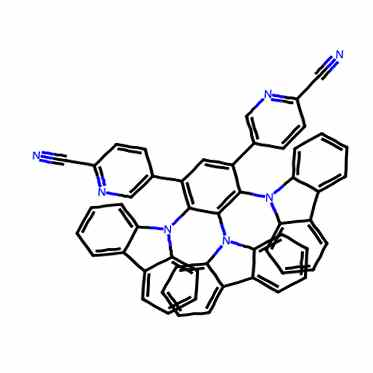 N#Cc1ccc(-c2cc(-c3ccc(C#N)nc3)c(-n3c4ccccc4c4ccccc43)c(-n3c4ccccc4c4ccccc43)c2-n2c3ccccc3c3ccccc32)cn1